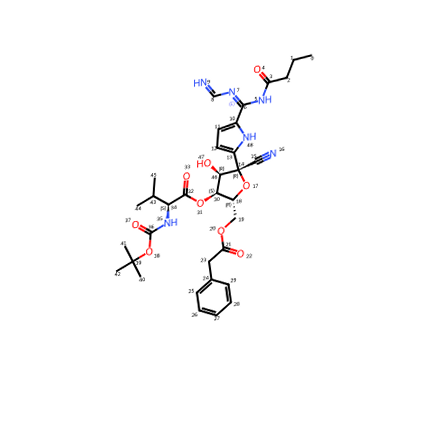 CCCC(=O)N/C(=N/C=N)c1ccc([C@]2(C#N)O[C@H](COC(=O)Cc3ccccc3)[C@@H](OC(=O)[C@@H](NC(=O)OC(C)(C)C)C(C)C)[C@H]2O)[nH]1